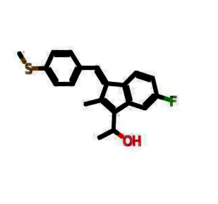 CSc1ccc(/C=C2\C(C)=C(C(C)O)c3cc(F)ccc32)cc1